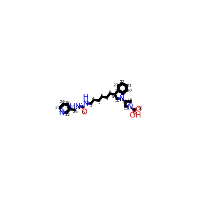 O=C(NCCCCCCC1CN(C2CN(C(=O)O)C2)c2ccccc21)NCc1cccnc1